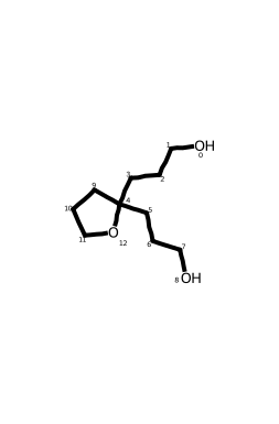 OCCCC1(CCCO)CCCO1